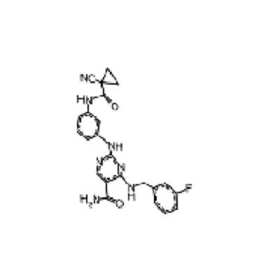 N#CC1(C(=O)Nc2cccc(Nc3ncc(C(N)=O)c(NCc4cccc(F)c4)n3)c2)CC1